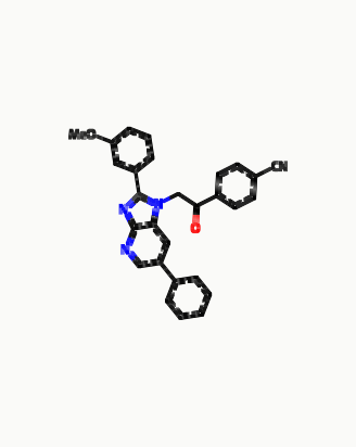 COc1cccc(-c2nc3ncc(-c4ccccc4)cc3n2CC(=O)c2ccc(C#N)cc2)c1